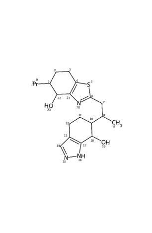 CC(C)C1CCc2sc(CC(C)C3CCc4cn[nH]c4C3O)nc2C1O